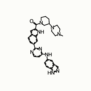 CN1CCN(C2CCCN(C(=O)c3cc4ccc(-c5nccc(Nc6ccc7[nH]ncc7c6)n5)cc4[nH]3)C2)CC1